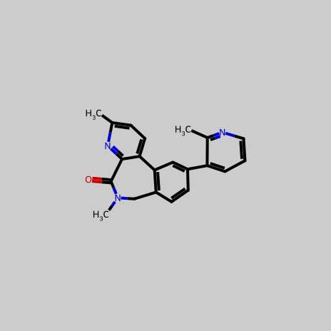 Cc1ccc2c(n1)C(=O)N(C)Cc1ccc(-c3cccnc3C)cc1-2